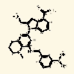 CN1CCCc2nc(-n3c(CN)cc4c(C(N)=O)cccc43)nc(NCc3cccc(B(O)O)c3)c21